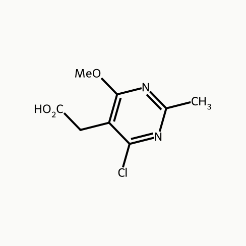 COc1nc(C)nc(Cl)c1CC(=O)O